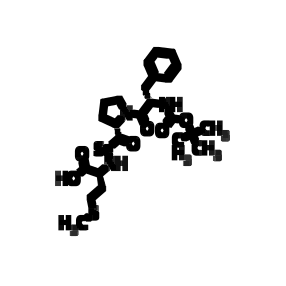 CSCC[C@H](N[Se]C(=O)[C@@H]1CCCN1C(=O)[C@H](Cc1ccccc1)NC(=O)OC(C)(C)C)C(=O)O